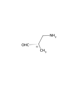 C[C@H](C=O)CN